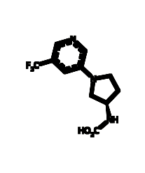 O=C(O)N[C@@H]1CCN(c2cncc(C(F)(F)F)c2)C1